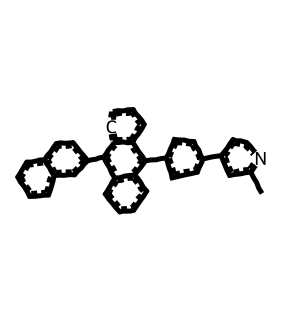 Cc1cc(-c2ccc(-c3c4ccccc4c(-c4ccc5ccccc5c4)c4ccccc34)cc2)ccn1